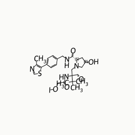 Cc1ncsc1-c1ccc(CNC(=O)[C@@H]2C[C@@H](O)CN2CC(C=O)(NC(=O)COI)C(C)(C)C)cc1